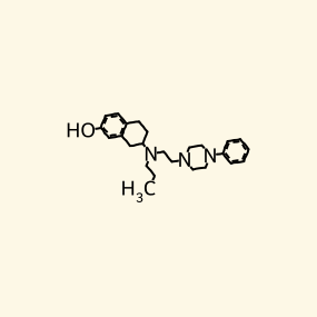 CCCN(CCN1CCN(c2ccccc2)CC1)C1CCc2ccc(O)cc2C1